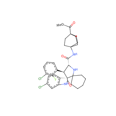 COC(=O)C12CCC(NC(=O)[C@@H]3NC4(CCCCC4)[C@@]4(C(=O)Nc5cc(Cl)ccc54)[C@H]3c3cccc(Cl)c3F)(CC1)CC2